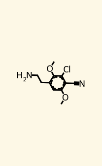 COc1cc(CCN)c(OC)c(Cl)c1C#N